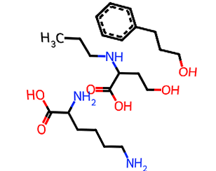 CCCNC(CCO)C(=O)O.NCCCCC(N)C(=O)O.OCCCc1ccccc1